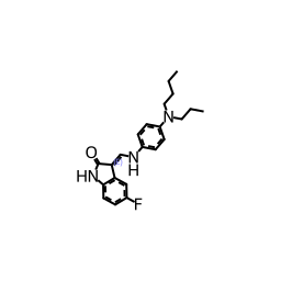 CCCCN(CCC)c1ccc(N/C=C2/C(=O)Nc3ccc(F)cc32)cc1